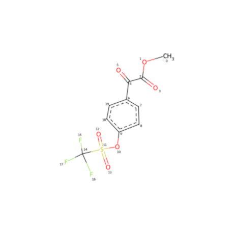 COC(=O)C(=O)c1ccc(OS(=O)(=O)C(F)(F)F)cc1